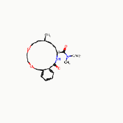 CON(C)C(=O)[C@@H]1CCC(C)CCOCCOCc2ccccc2C(=O)N1